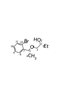 CC[C@@H](O)CO[C@H](C)c1ccccc1Br